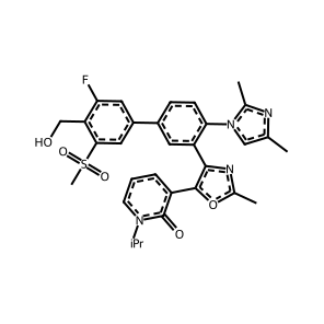 Cc1cn(-c2ccc(-c3cc(F)c(CO)c(S(C)(=O)=O)c3)cc2-c2nc(C)oc2-c2cccn(C(C)C)c2=O)c(C)n1